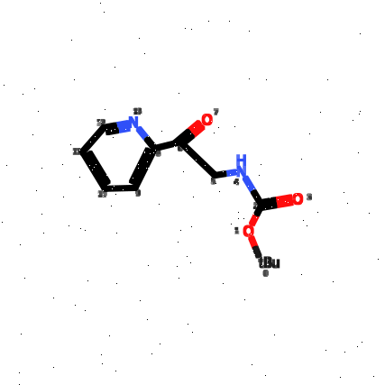 CC(C)(C)OC(=O)NCC(=O)c1ccccn1